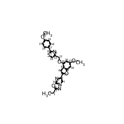 CCc1nn2cc(-c3cc4c(OCc5csc(-c6ccc(OC)cc6)n5)cc(OC)cc4o3)nc2o1